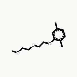 COCCOCCOc1cc(C)ccc1C